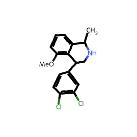 COc1cccc2c1C(c1ccc(Cl)c(Cl)c1)CNC2C